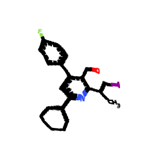 CC(CI)c1nc(C2CCCCC2)cc(-c2ccc(F)cc2)c1C=O